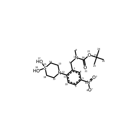 CN(Cc1cc([N+](=O)[O-])ccc1N1CCS(O)(O)CC1)C(=O)OC(C)(C)C